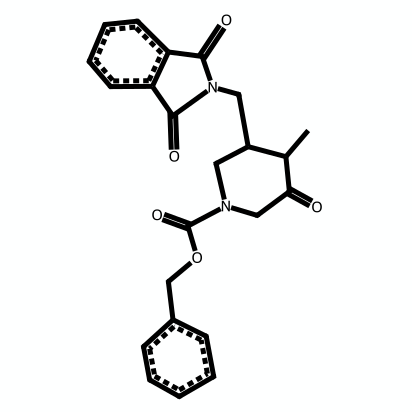 CC1C(=O)CN(C(=O)OCc2ccccc2)CC1CN1C(=O)c2ccccc2C1=O